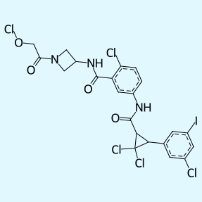 O=C(NC1CN(C(=O)COCl)C1)c1cc(NC(=O)C2C(c3cc(Cl)cc(I)c3)C2(Cl)Cl)ccc1Cl